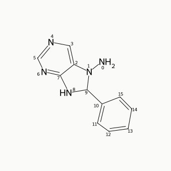 NN1c2cncnc2NC1c1ccccc1